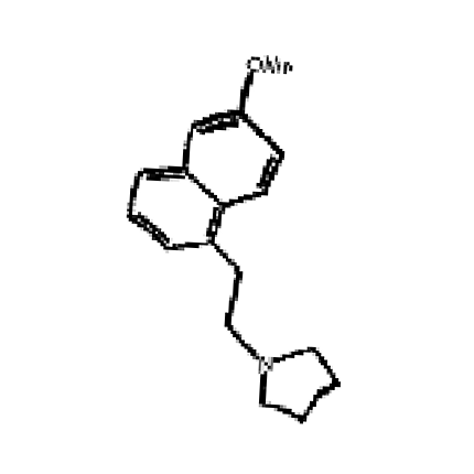 COc1ccc2c(CCN3CCCC3)cccc2c1